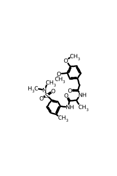 COc1ccc(CC(=O)NC(C)C(=O)Nc2cc(S(=O)(=O)N(C)C)ccc2C)cc1OC